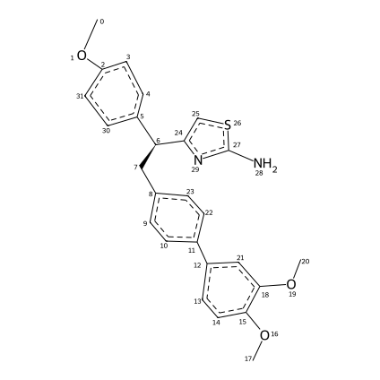 COc1ccc([C@H](Cc2ccc(-c3ccc(OC)c(OC)c3)cc2)c2csc(N)n2)cc1